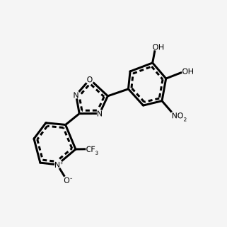 O=[N+]([O-])c1cc(-c2nc(-c3ccc[n+]([O-])c3C(F)(F)F)no2)cc(O)c1O